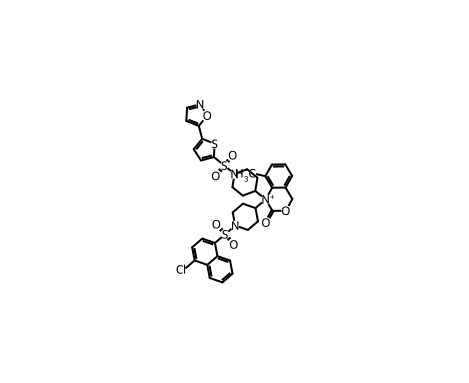 Cc1cccc2c1[N+](C1CCN(S(=O)(=O)c3ccc(-c4ccno4)s3)CC1)(C1CCN(S(=O)(=O)c3ccc(Cl)c4ccccc34)CC1)C(=O)OC2